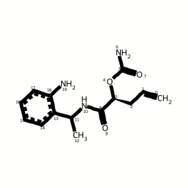 C=CC[C@H](OC(N)=O)C(=O)NC(C)c1ccccc1N